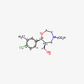 Cc1cc([C@H]2OCCN(C(=O)O)C[C@H]2CO)ccc1Cl